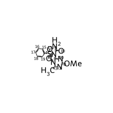 COc1nc(C)nc(N(C(N)=O)S(=O)(=O)c2ccccc2)n1